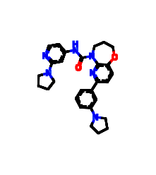 O=C(Nc1ccnc(N2CCCC2)c1)N1CCCOc2ccc(-c3cccc(N4CCCC4)c3)nc21